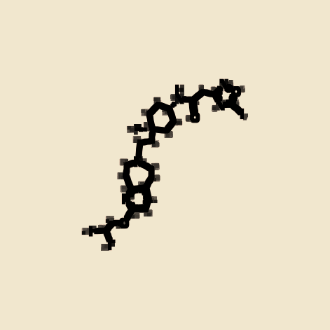 O=C(Cc1noc(I)n1)N[C@H]1CC[C@](F)(CCN2CCc3ccc(OCC(F)F)nc3CC2)CC1